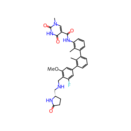 COc1cc(-c2cccc(-c3cccc(NC(=O)c4cn(C)c(=O)[nH]c4=O)c3C)c2C)cc(F)c1CNC[C@@H]1CCC(=O)N1